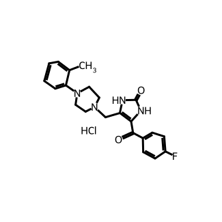 Cc1ccccc1N1CCN(Cc2[nH]c(=O)[nH]c2C(=O)c2ccc(F)cc2)CC1.Cl